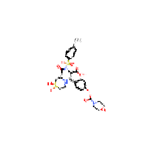 Cc1ccc(S(=O)(=O)N(C(=O)C2CS(=O)(=O)CCN2)[C@@H](Cc2ccc(OC(=O)N3CCOCC3)cc2)C(=O)O)cc1